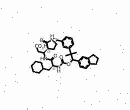 CC(C)(c1cccc(Cl)c1)C(OC(=O)N[C@@H](CC1CCCCC1)C(=O)NC(CC(=O)O)[C@@H]1CCNC1=O)c1ccc2c(c1)CCC2